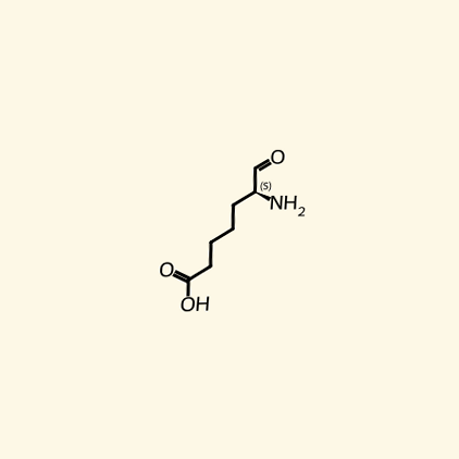 N[C@H](C=O)CCCCC(=O)O